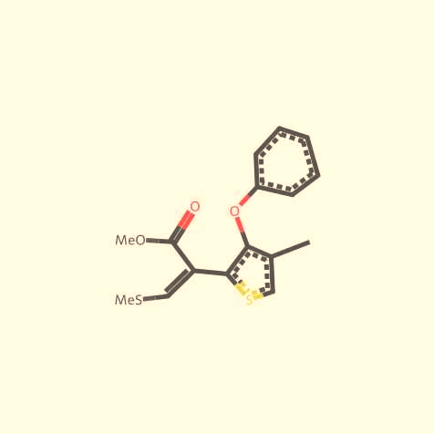 COC(=O)C(=CSC)c1scc(C)c1Oc1ccccc1